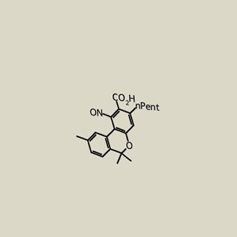 CCCCCc1cc2c(c(N=O)c1C(=O)O)-c1cc(C)ccc1C(C)(C)O2